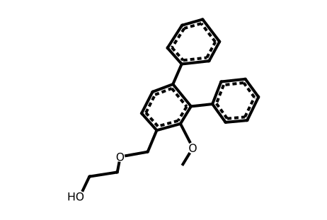 COc1c(COCCO)ccc(-c2ccccc2)c1-c1ccccc1